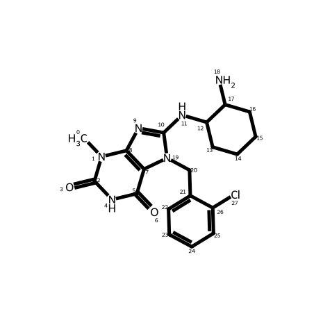 Cn1c(=O)[nH]c(=O)c2c1nc(NC1CCCCC1N)n2Cc1ccccc1Cl